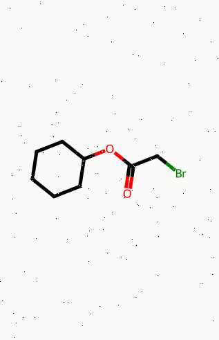 O=C(CBr)OC1CCCCC1